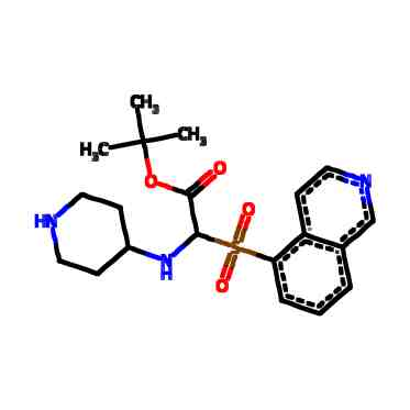 CC(C)(C)OC(=O)C(NC1CCNCC1)S(=O)(=O)c1cccc2cnccc12